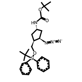 CC(C)(C)OC(=O)N[C@H]1C[C@H](CO[Si](c2ccccc2)(c2ccccc2)C(C)(C)C)[C@H](N=[N+]=[N-])C1